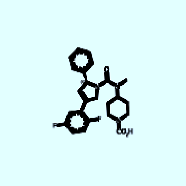 CN(C(=O)N1CC(c2cc(F)ccc2F)=C[C@H]1c1ccccc1)C1CCN(C(=O)O)CC1